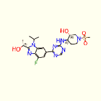 CC(C)n1c([C@@H](C)O)nc2c(F)cc(-c3ncnc(N[C@@H]4CCN(S(C)(=O)=O)C[C@H]4O)n3)cc21